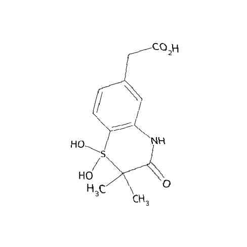 CC1(C)C(=O)Nc2cc(CC(=O)O)ccc2S1(O)O